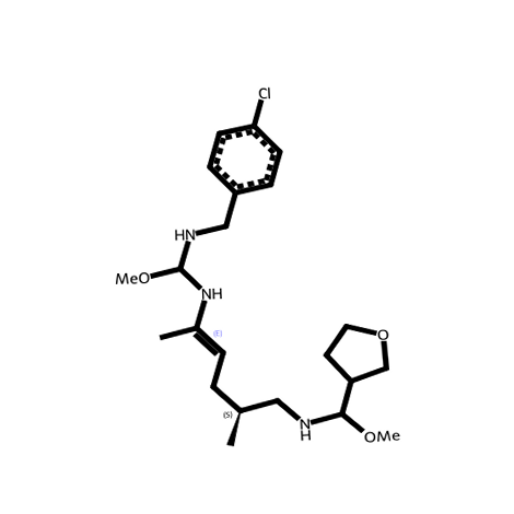 COC(NCc1ccc(Cl)cc1)N/C(C)=C/C[C@H](C)CNC(OC)C1CCOC1